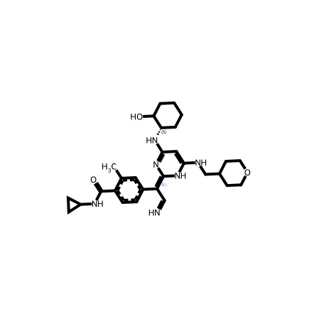 Cc1cc(/C(C=N)=C2\N=C(N[C@H]3CCCCC3O)C=C(NCC3CCOCC3)N2)ccc1C(=O)NC1CC1